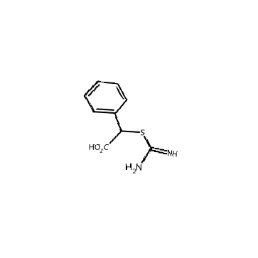 N=C(N)SC(C(=O)O)c1ccccc1